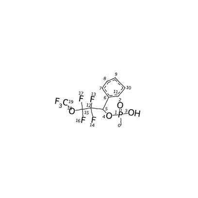 CP(=O)(O)OC(c1ccccc1)C(F)(F)C(F)(F)OC(F)(F)F